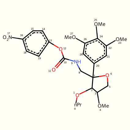 CCCOC1C(OC)COC1(CNC(=O)Oc1ccc([N+](=O)[O-])cc1)c1cc(OC)c(OC)c(OC)c1